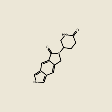 O=C1CCC(N2Cc3cc4c[nH]cc4cc3C2=O)CN1